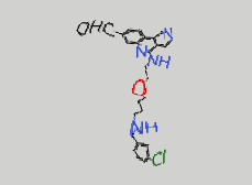 O=Cc1ccc2c(c1)nc(NCCOCCCCNCc1cccc(Cl)c1)c1ccncc12